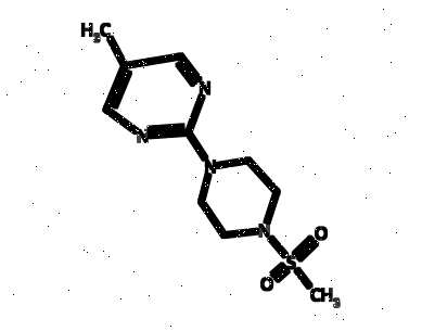 Cc1cnc(N2CCN(S(C)(=O)=O)CC2)nc1